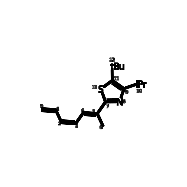 C=C/C=C\C=C(/C)c1nc(C(C)C)c(C(C)(C)C)s1